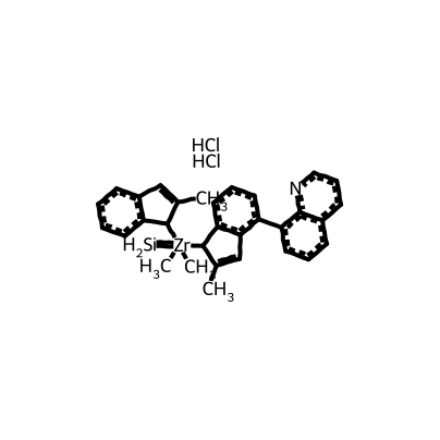 CC1=Cc2ccccc2[CH]1[Zr]([CH3])([CH3])(=[SiH2])[CH]1C(C)=Cc2c(-c3cccc4cccnc34)cccc21.Cl.Cl